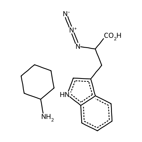 NC1CCCCC1.[N-]=[N+]=NC(Cc1c[nH]c2ccccc12)C(=O)O